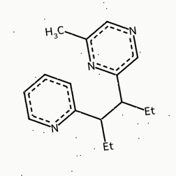 CCC(c1ccccn1)C(CC)c1cncc(C)n1